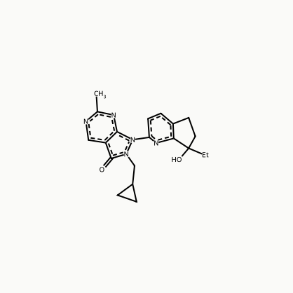 CCC1(O)CCc2ccc(-n3c4nc(C)ncc4c(=O)n3CC3CC3)nc21